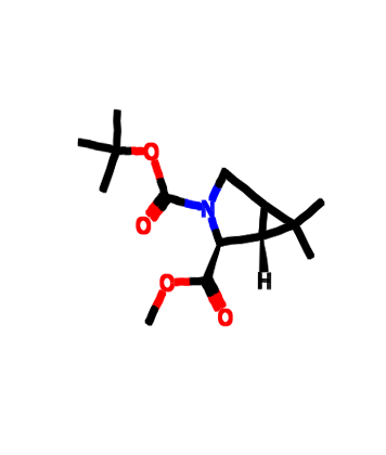 COC(=O)[C@@H]1[C@@H]2C(CN1C(=O)OC(C)(C)C)C2(C)C